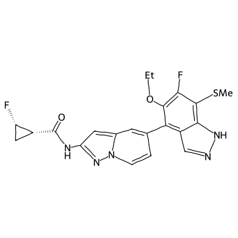 CCOc1c(F)c(SC)c2[nH]ncc2c1-c1ccn2nc(NC(=O)[C@@H]3C[C@@H]3F)cc2c1